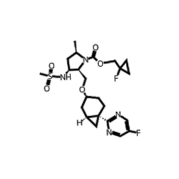 C[C@@H]1C[C@H](NS(C)(=O)=O)[C@H](CO[C@H]2CC[C@@]3(c4ncc(F)cn4)C[C@H]3C2)N1C(=O)OCC1(F)CC1